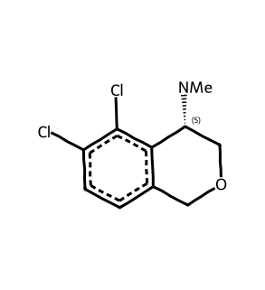 CN[C@@H]1COCc2ccc(Cl)c(Cl)c21